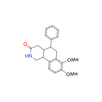 COc1ccc2c(c1OC)CC(c1ccccc1)C1CC(=O)NCC21